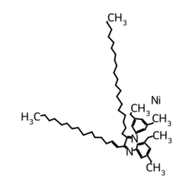 CCCCCCCCCCCCCC=CC(=Nc1cc(CC)cc(CC)c1)C(CCCCCCCCCCCCCCCCCCCC)=Nc1cc(CC)cc(CC)c1.[Ni]